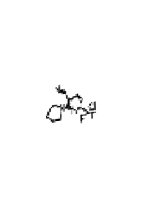 N#Cc1ccc(C(F)(F)Cl)nc1N1CCCCC1